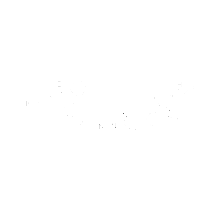 CCC(=C(c1ccc(O)cc1)c1ccc(OCCN2CCN(c3cnc(-c4ccc5c(c4)C(=O)N(C4CCC(=O)NC4=O)C5=O)cn3)CC2)cc1)c1ccccc1